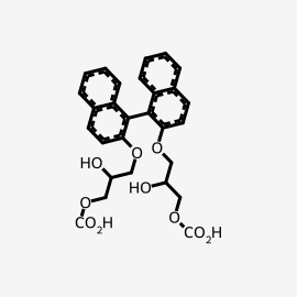 O=C(O)OCC(O)COc1ccc2ccccc2c1-c1c(OCC(O)COC(=O)O)ccc2ccccc12